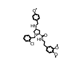 COc1ccc(CN[C@H]2C[C@@H](C(=O)NCCc3ccc(OC)c(OC)c3)N(Cc3ccccc3Cl)C2)cc1